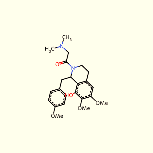 COc1ccc(CC2c3c(cc(OC)c(OC)c3O)CCN2C(=O)CN(C)C)cc1